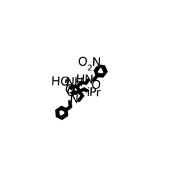 CC(C)CC1(C(CCNC(=O)c2cccc([N+](=O)[O-])c2)C(=O)NO)CCN(CCc2ccccc2)C1=O